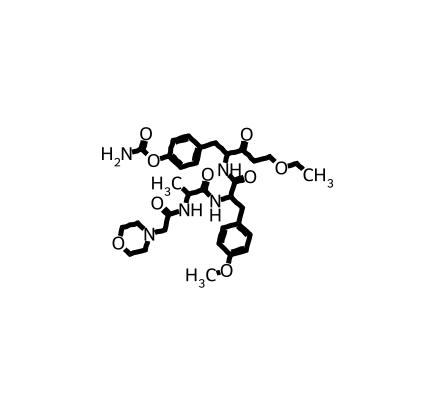 CCOCCC(=O)C(Cc1ccc(OC(N)=O)cc1)NC(=O)C(Cc1ccc(OC)cc1)NC(=O)C(C)NC(=O)CN1CCOCC1